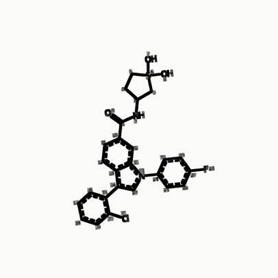 O=C(NC1CCS(O)(O)C1)c1ccc2c(-c3ccccc3Cl)cn(-c3ccc(F)cc3)c2c1